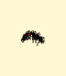 COc1c(N2CCN(C(=O)C(N)C(C)C)C(C)C2)c(F)cc2c(=O)c(C(=O)OCC(=O)[C@@]3(O)CCC4C5CCC6=CC(=O)C=C[C@]6(C)C5[C@@H](O)C[C@@]43C)cn(C3CC3)c12